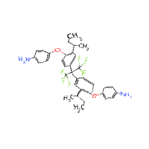 CCC(C)c1cc(C(c2ccc(Oc3ccc(N)cc3)c(C(C)CC)c2)(C(F)(F)F)C(F)(F)F)ccc1Oc1ccc(N)cc1